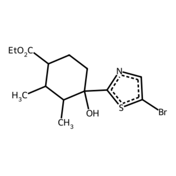 CCOC(=O)C1CCC(O)(c2ncc(Br)s2)C(C)C1C